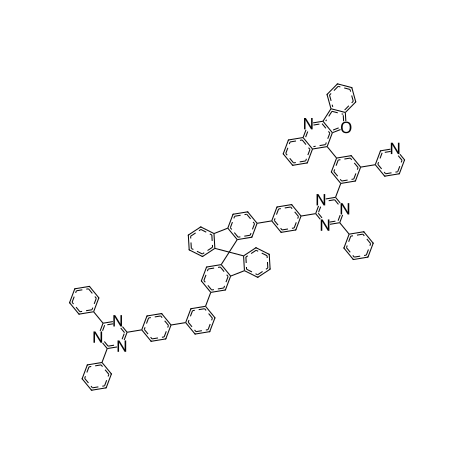 c1ccc(-c2nc(-c3ccccc3)nc(-c3ccc(-c4cccc(-c5ccc6c(c5)-c5ccccc5C65c6ccccc6-c6ccc(-c7ccc(-c8nc(-c9ccccc9)nc(-c9cc(-c%10cccnc%10)cc(-c%10c%11ccccc%11nc%11c%10oc%10ccccc%10%11)c9)n8)cc7)cc65)c4)cc3)n2)cc1